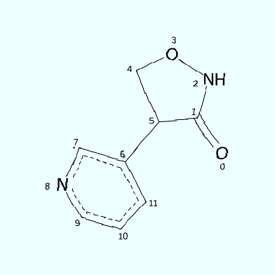 O=C1NOCC1c1[c]nccc1